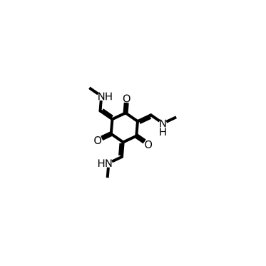 CNC=C1C(=O)C(=CNC)C(=O)C(=CNC)C1=O